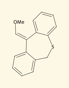 COC=C1c2ccccc2CSc2ccccc21